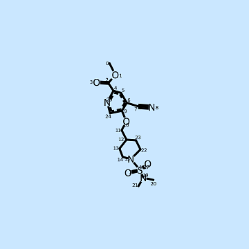 COC(=O)c1cc(C#N)c(OCC2CCN(S(=O)(=O)N(C)C)CC2)cn1